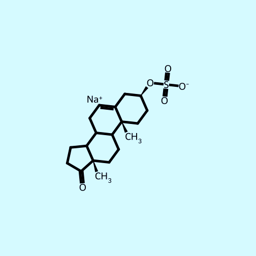 C[C@]12CC[C@H](OS(=O)(=O)[O-])CC1=CCC1C2CC[C@]2(C)C(=O)CCC12.[Na+]